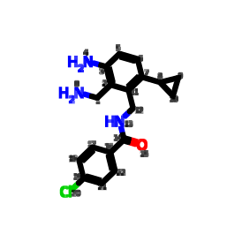 NCc1c(N)ccc(C2CC2)c1CNC(=O)c1ccc(Cl)cc1